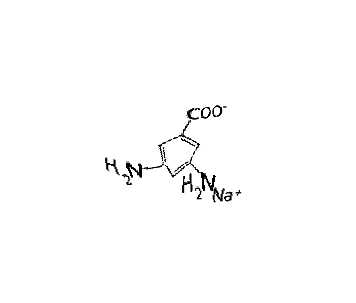 Nc1cc(N)cc(C(=O)[O-])c1.[Na+]